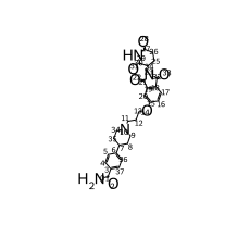 NC(=O)c1ccc(C2CCN(CCCOc3ccc4c(c3)C(=O)N(C3CCC(=O)NC3=O)C4=O)CC2)cc1